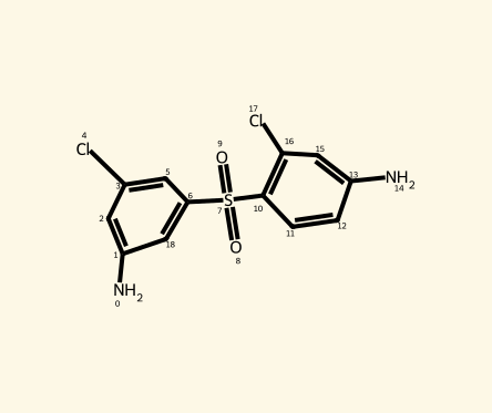 Nc1cc(Cl)cc(S(=O)(=O)c2ccc(N)cc2Cl)c1